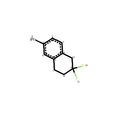 CC(C)c1ccc2c(c1)CCC(F)(F)C2